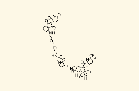 CC(C)(O)c1cc2nn(CCN3CCN(CC(=O)NCCOCCOCCNc4cccc5c4C(=O)N(C4CCC(=O)NC4=O)C5=O)C3=O)cc2cc1NC(=O)c1cccc(C(F)(F)F)n1